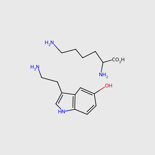 NCCCCC(N)C(=O)O.NCCc1c[nH]c2ccc(O)cc12